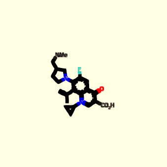 C=C(C)c1c(N2CCC(CNC)C2)c(F)cc2c(=O)c(C(=O)O)cn(C3CC3)c12